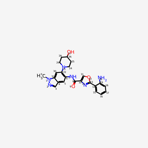 Cn1ncc2cc(NC(=O)c3coc(-c4ccccc4N)n3)c(N3CCC(O)CC3)cc21